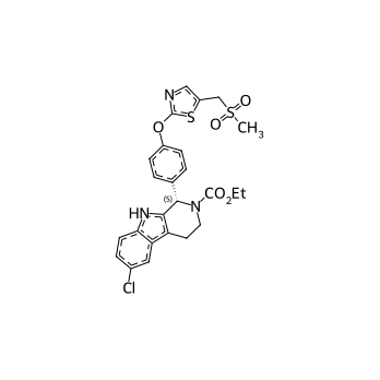 CCOC(=O)N1CCc2c([nH]c3ccc(Cl)cc23)[C@@H]1c1ccc(Oc2ncc(CS(C)(=O)=O)s2)cc1